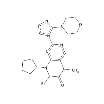 CCC1C(=O)N(C)c2cnc(-n3ccnc3N3CCOCC3)nc2N1C1CCCC1